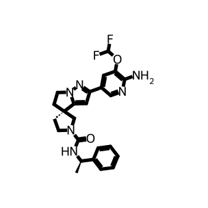 C[C@@H](NC(=O)N1CC[C@@]2(CCn3nc(-c4cnc(N)c(OC(F)F)c4)cc32)C1)c1ccccc1